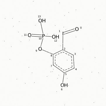 O=Ic1ccc(O)cc1OP(=O)(O)O